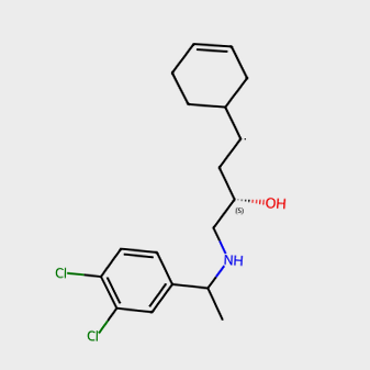 CC(NC[C@@H](O)C[CH]C1CC=CCC1)c1ccc(Cl)c(Cl)c1